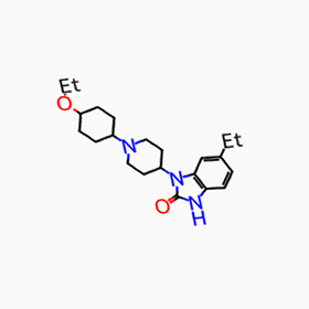 CCOC1CCC(N2CCC(n3c(=O)[nH]c4ccc(CC)cc43)CC2)CC1